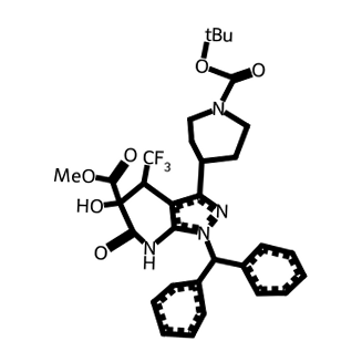 COC(=O)C1(O)C(=O)Nc2c(c(C3CCN(C(=O)OC(C)(C)C)CC3)nn2C(c2ccccc2)c2ccccc2)C1C(F)(F)F